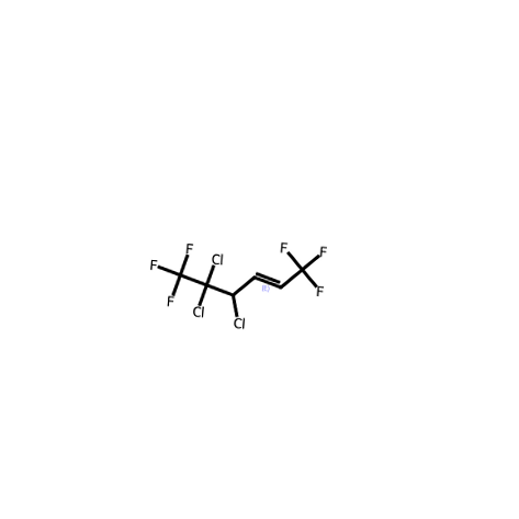 FC(F)(F)/C=C/C(Cl)C(Cl)(Cl)C(F)(F)F